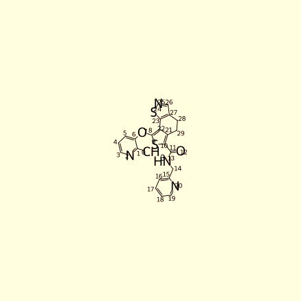 Cc1ncccc1Oc1sc(C(=O)NCc2ccccn2)c2c1-c1sncc1CC2